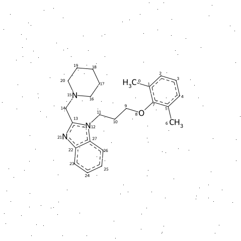 Cc1cccc(C)c1OCCCn1c(CN2CCCCC2)nc2ccccc21